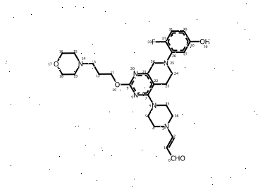 O=CC=CN1CCN(c2nc(OCCCN3CCOCC3)nc3c2CCN(c2cc(O)ccc2F)C3)CC1